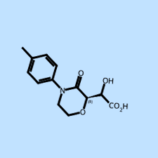 Cc1ccc(N2CCO[C@H](C(O)C(=O)O)C2=O)cc1